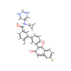 CNC(=O)c1c(-c2ccc(F)cc2)oc2ccc(-c3cc(C(=O)N(c4cncnc4)C4CC4)ccc3C)cc12